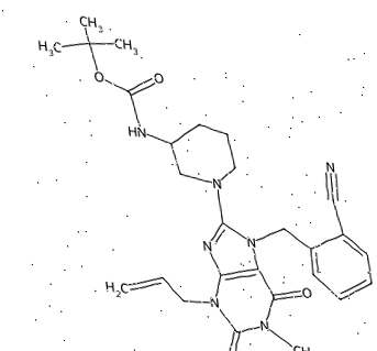 C=CCn1c(=O)n(C)c(=O)c2c1nc(N1CCCC(NC(=O)OC(C)(C)C)C1)n2Cc1ccccc1C#N